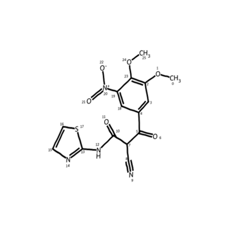 COc1cc(C(=O)C(C#N)C(=O)Nc2nccs2)cc([N+](=O)[O-])c1OC